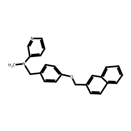 CN(Cc1ccc(OCc2ccc3ccccc3c2)cc1)c1cccnc1